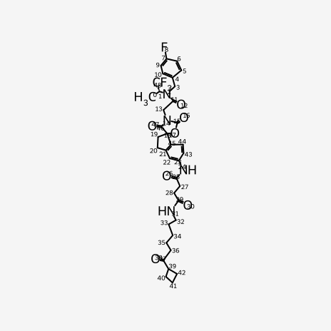 C[C@H](N(Cc1ccc(F)cc1)C(=O)CN1C(=O)OC2(CCc3cc(NC(=O)CCC(=O)NCCCCCC(=O)C4CCC4)ccc32)C1=O)C(F)(F)F